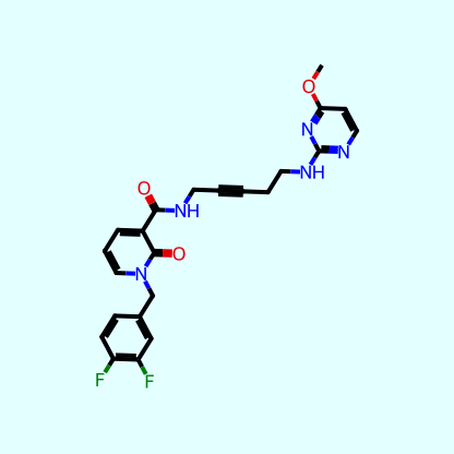 COc1ccnc(NCCC#CCNC(=O)c2cccn(Cc3ccc(F)c(F)c3)c2=O)n1